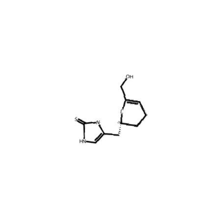 OCC1=CCC[C@H](CC2=CNC(=S)[N]2)C1